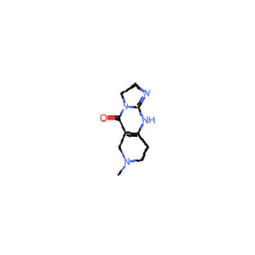 CN1CCC2=C(C1)C(=O)N1CCN=C1N2